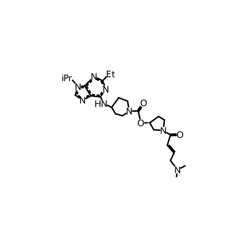 CCc1nc(NC2CCN(C(=O)O[C@H]3CCN(C(=O)/C=C/CN(C)C)C3)CC2)c2ncn(C(C)C)c2n1